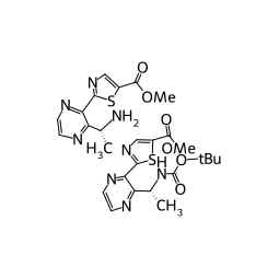 COC(=O)c1cnc(-c2nccnc2[C@@H](C)N)s1.COC(=O)c1cnc(-c2nccnc2[C@@H](C)NC(=O)OC(C)(C)C)s1